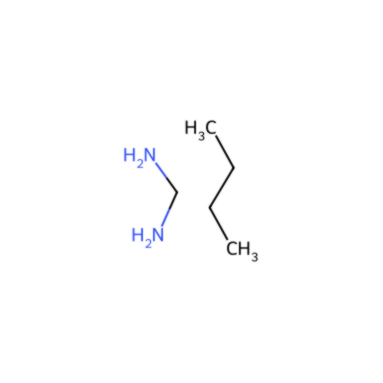 CCCC.NCN